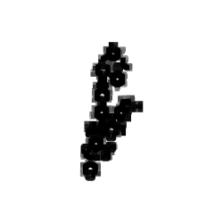 CC(C)Oc1ccccc1[C@@H]1CN(Cc2cccnc2)CCN1C1CC2(CCN(c3ccc(C(=O)NS(=O)(=O)c4cc5c(c([N+](=O)[O-])c4)N[C@H](C4CCOCC4)CO5)c(N4c5cc6cc[nH]c6nc5O[C@H]5COCC[C@@H]54)c3)CC2)C1